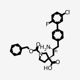 N[C@H](Cc1ccc(-c2cc(Cl)ccc2F)cc1)C[C@@]1(C(=O)O)CCN(C(=O)OCc2ccccc2)C1